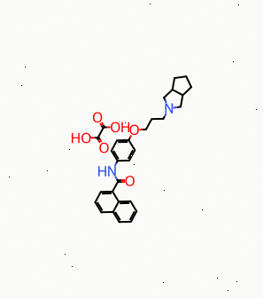 O=C(Nc1ccc(OCCCN2CC3CCCC3C2)cc1)c1cccc2ccccc12.O=C(O)C(=O)O